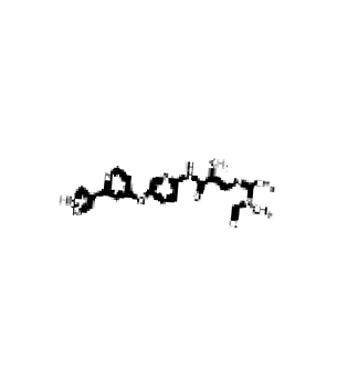 C/C(=N/C=C(\C)C(=O)Nc1ccc(Oc2ccnc(-c3cn[nH]c3)c2)cn1)N(C)C=O